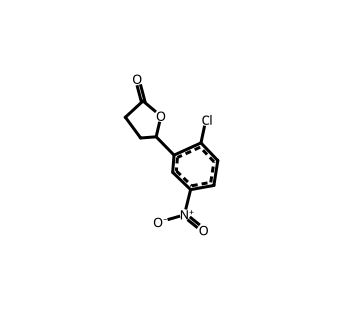 O=C1CCC(c2cc([N+](=O)[O-])ccc2Cl)O1